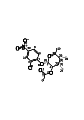 CC(=O)OC1[C@H](Oc2ccc([N+](=O)[O-])cc2Cl)OC(C)[C@H](C)[C@@H]1C